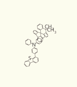 CC1(C)c2ccccc2C2(c3ccccc3-c3ccccc32)c2c(-c3ccc(N(c4ccccc4)c4ccc(-c5cccc6c5sc5ccccc56)cc4)cc3)cccc21